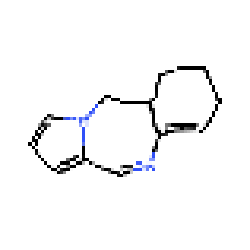 C1=NC2=CCCCC2Cn2cccc21